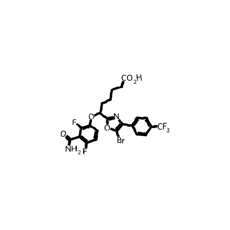 NC(=O)c1c(F)ccc(OC(CCCCC(=O)O)c2nc(-c3ccc(C(F)(F)F)cc3)c(Br)o2)c1F